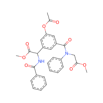 COC(=O)CN(C(=O)c1cc(OC(C)=O)cc(C(NC(=O)c2ccccc2)C(=O)OC)c1)c1ccccc1